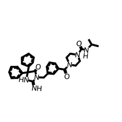 CC(C)NC(=O)N1CCN(C(=O)c2cccc(CN3C(=N)NC(c4ccccc4)(c4ccccc4)C3=O)c2)CC1